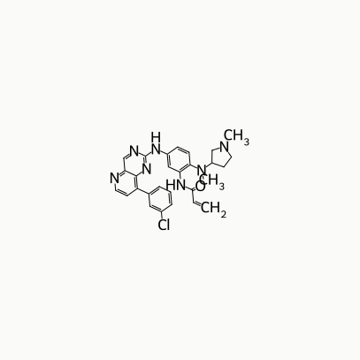 C=CC(=O)Nc1cc(Nc2ncc3nccc(-c4cccc(Cl)c4)c3n2)ccc1N(C)C1CCN(C)C1